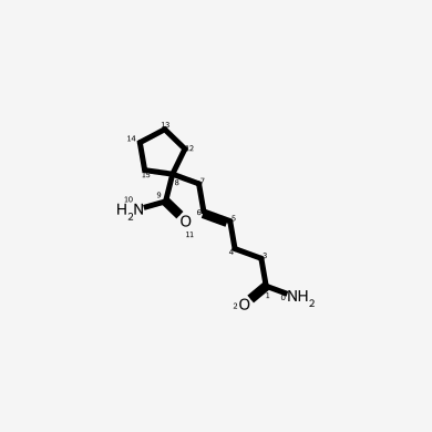 NC(=O)CCC=CCC1(C(N)=O)CCCC1